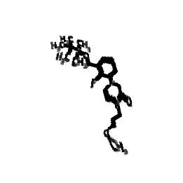 COCCCN1CCN(c2cccc(CO[Si](C)(C)C(C)(C)C)c2F)CC1=O